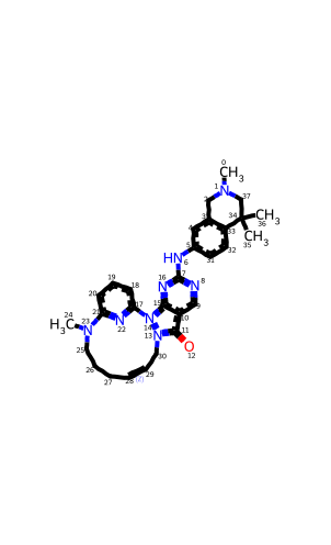 CN1Cc2cc(Nc3ncc4c(=O)n5n(c4n3)-c3cccc(n3)N(C)CCC/C=C\C5)ccc2C(C)(C)C1